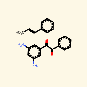 Nc1cc(N)cc(C(=O)C(=O)c2ccccc2)c1.O=C(O)C=Cc1ccccc1